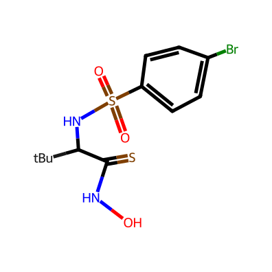 CC(C)(C)C(NS(=O)(=O)c1ccc(Br)cc1)C(=S)NO